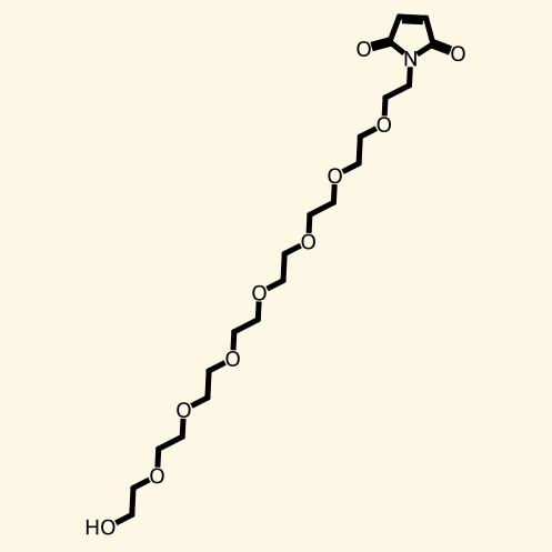 O=C1C=CC(=O)N1CCOCCOCCOCCOCCOCCOCCOCCO